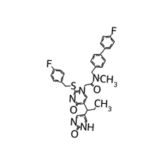 CCC(c1cnc(=O)[nH]c1)c1cn(CC(=O)N(C)Cc2ccc(-c3ccc(F)cc3)cc2)c(SCc2ccc(F)cc2)nc1=O